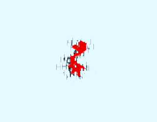 CNC(=O)C(CC(N)=O)NC(=O)C(CCCNC(=N)N)NC(=O)C(CCCCN)NC(=O)CNC(=O)C(CCCNC(=N)N)NC(=O)C(CO)NC(=O)CNC(=O)CNC(=O)C(Cc1ccc(O)cc1)NC(=O)C(Cc1ccccc1)NC(=O)C(Cc1ccccc1)NC(=O)C(N)C(C)O